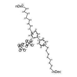 CCCCCCCCCCCCCCCCCC[n+]1ccc(-c2cc[n+](CCCCCCCCCCCCCCCCCC)cc2)cc1.[O-][Cl+3]([O-])([O-])[O-].[O-][Cl+3]([O-])([O-])[O-]